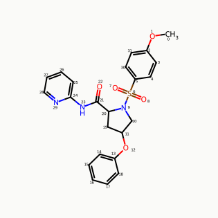 COc1ccc(S(=O)(=O)N2CC(Oc3ccccc3)CC2C(=O)Nc2ccccn2)cc1